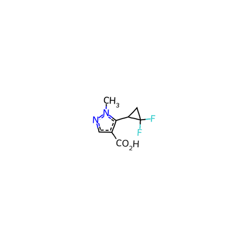 Cn1ncc(C(=O)O)c1C1CC1(F)F